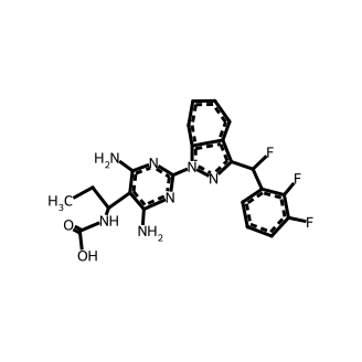 CCC(NC(=O)O)c1c(N)nc(-n2nc(C(F)c3cccc(F)c3F)c3ccccc32)nc1N